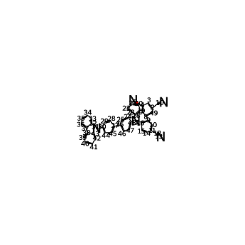 N#Cc1cc(C#N)cc(-c2cc(C#N)ccc2-n2c3ccccc3c3cc(-c4ccc(-n5c6ccccc6c6ccccc65)cc4)ccc32)c1